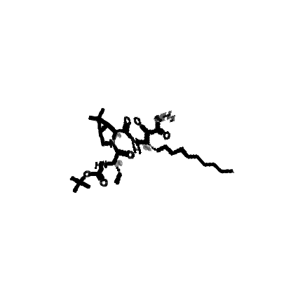 CCCCCCCCCC[C@H](NC(=O)[C@@H]1C2C(CN1C(=O)[C@H](CC)NC(=O)OC(C)(C)C)C2(C)C)C(=O)C(N)=O